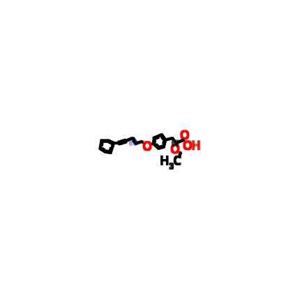 CCO[C@@H](Cc1ccc(OC/C=C/C#Cc2ccccc2)cc1)C(=O)O